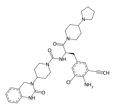 C#Cc1cc(C[C@@H](NC(=O)N2CCC(N3Cc4ccccc4NC3=O)CC2)C(=O)N2CCC(N3CCCC3)CC2)cc(Cl)c1N